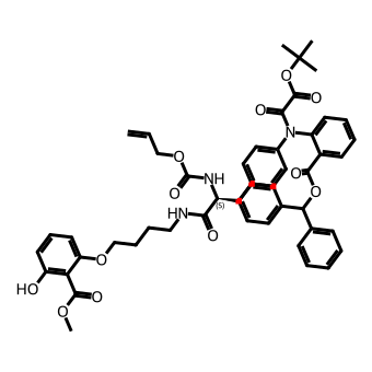 C=CCOC(=O)N[C@@H](Cc1ccc(N(C(=O)C(=O)OC(C)(C)C)c2ccccc2C(=O)OC(c2ccccc2)c2ccccc2)cc1)C(=O)NCCCCOc1cccc(O)c1C(=O)OC